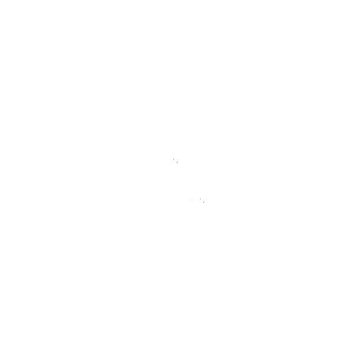 CCC/N=C(/C)SN